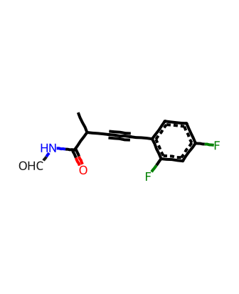 CC(C#Cc1ccc(F)cc1F)C(=O)NC=O